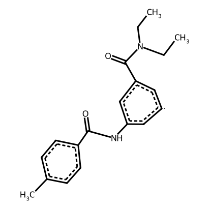 CCN(CC)C(=O)c1c[c]cc(NC(=O)c2ccc(C)cc2)c1